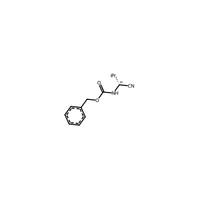 CC(C)[C@H](C#N)NC(=O)OCc1ccccc1